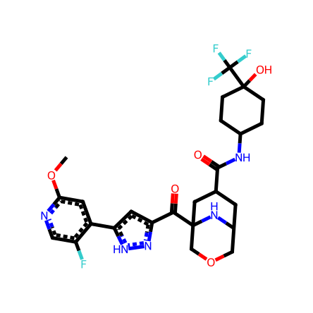 COc1cc(-c2cc(C(=O)C34COCC(CC(C(=O)NC5CCC(O)(C(F)(F)F)CC5)C3)N4)n[nH]2)c(F)cn1